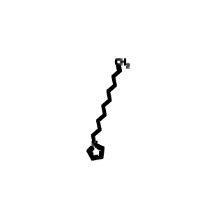 C=CCCCCCCCCCn1cccc1